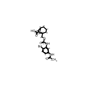 CC(=O)Nc1ccc(Br)c(NC(=O)OCC23CCCC(CC2)N3C(=O)O)c1